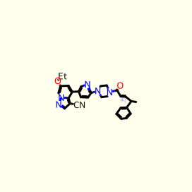 CCOc1cc(-c2ccc(N3CCN(C(=O)/C=C/C(C)c4ccccc4)CC3)nc2)c2c(C#N)cnn2c1